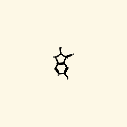 Cc1ccc2c(c1)C(=O)C(C)S2